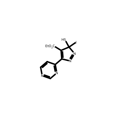 CCOC(=O)C1=C(c2ccncn2)N=NC1(S)I